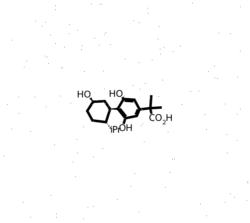 CC(C)[C@@H]1CC[C@@H](O)C[C@H]1c1c(O)cc(C(C)(C)C(=O)O)cc1O